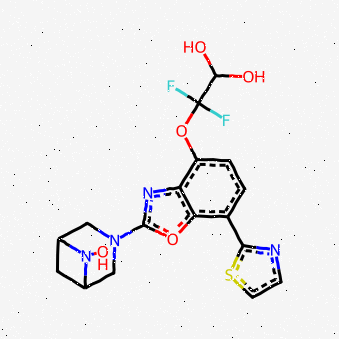 OC(O)C(F)(F)Oc1ccc(-c2nccs2)c2oc(N3CC4CC(C3)N4O)nc12